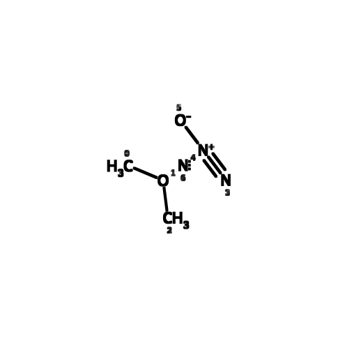 COC.N#[N+][O-].[N]